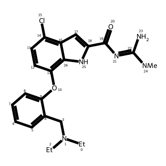 CCN(CC)Cc1ccccc1Oc1ccc(Cl)c2cc(C(=O)N=C(N)NC)[nH]c12